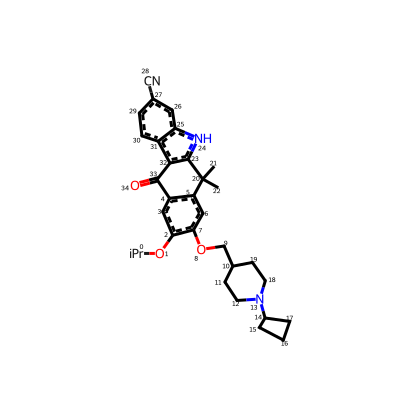 CC(C)Oc1cc2c(cc1OCC1CCN(C3CCC3)CC1)C(C)(C)c1[nH]c3cc(C#N)ccc3c1C2=O